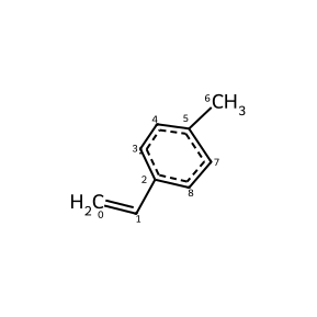 C=Cc1[c]cc(C)cc1